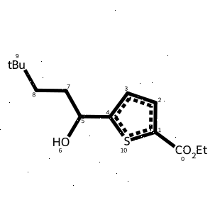 CCOC(=O)c1ccc(C(O)CCC(C)(C)C)s1